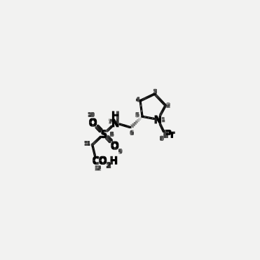 CC(C)N1CCC[C@H]1CNS(=O)(=O)CC(=O)O